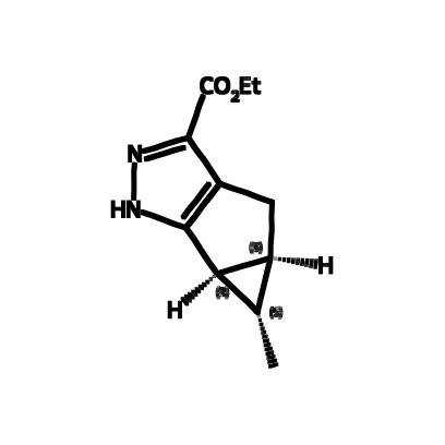 CCOC(=O)c1n[nH]c2c1C[C@H]1[C@H](C)[C@@H]21